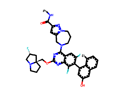 CCc1cccc2cc(O)cc(-c3c(F)cc4c(N5CCCn6nc(C(=O)NC(C)C)cc6C5)nc(OC[C@@]56CCCN5C[C@H](F)C6)nc4c3F)c12